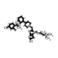 CCc1cc2c(nc(CN3CC=C(c4cccc5c4O[C@@](C)(c4ccc(Cl)cc4F)O5)CC3)n2COCC[Si](C)(C)C)s1